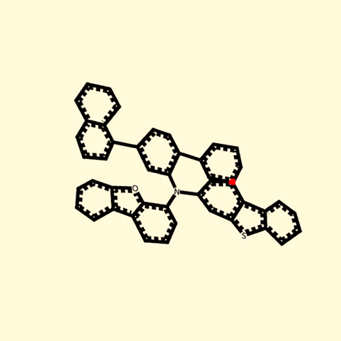 c1ccc(-c2ccc(-c3cccc4ccccc34)cc2N(c2ccc3c(c2)sc2ccccc23)c2cccc3c2oc2ccccc23)cc1